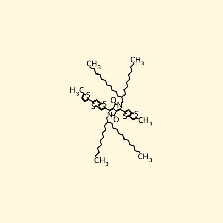 CCCCCCCCCCCCC(CCCCCCCCCC)CN1C(=O)C2=C(c3cc4sc(-c5ccc(C)s5)cc4s3)N(CC(CCCCCCCCCC)CCCCCCCCCCCC)C(=O)C2=C1c1cc2sc(C)cc2s1